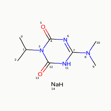 CC(C)n1c(=O)nc(N(C)C)[nH]c1=O.[NaH]